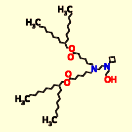 CCCCCCCCC(CCCCCCCC)COC(=O)CCCCCN(CCCCCC(=O)OCC(CCCCCCCC)CCCCCCCC)CCN(CCO)C1CCC1